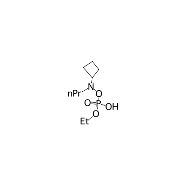 CCCN(OP(=O)(O)OCC)C1CCC1